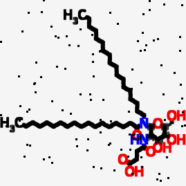 CCCCCCCCCCCCCCCCCCN(C(=O)CCCCCCCCCCCCCCCCC)[C@@H]1O[C@H](CO)[C@@H](O)[C@H](O)[C@H]1NC(=O)CCC(=O)O